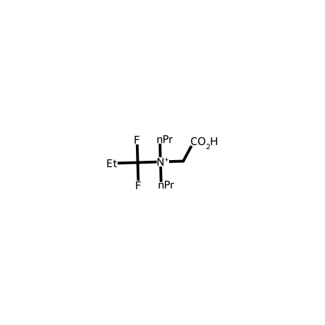 CCC[N+](CCC)(CC(=O)O)C(F)(F)CC